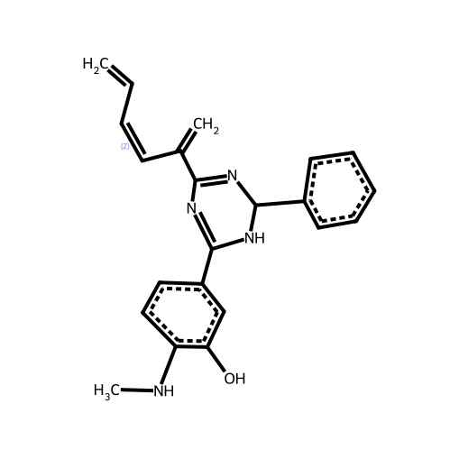 C=C/C=C\C(=C)C1=NC(c2ccccc2)NC(c2ccc(NC)c(O)c2)=N1